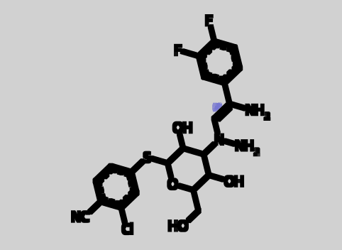 N#Cc1ccc(SC2OC(CO)C(O)C(N(N)/C=C(\N)c3ccc(F)c(F)c3)C2O)cc1Cl